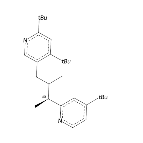 CC(Cc1cnc(C(C)(C)C)cc1C(C)(C)C)[C@H](C)c1cc(C(C)(C)C)ccn1